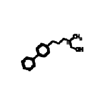 C[C@@H](CO)CCCc1ccc(-c2ccccc2)cc1